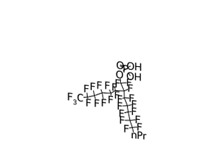 CCCC(F)(F)C(F)(F)C(F)(F)C(F)(F)C(F)(F)C(F)(C(F)(F)OP(=O)(O)O)C(F)(F)C(F)(F)C(F)(F)C(F)(F)C(F)(F)C(F)(F)F